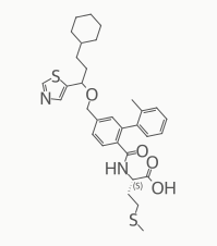 CSCC[C@H](NC(=O)c1ccc(COC(CCC2CCCCC2)c2cncs2)cc1-c1ccccc1C)C(=O)O